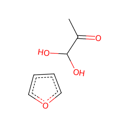 CC(=O)C(O)O.c1ccoc1